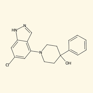 OC1(c2ccccc2)CCN(c2cc(Cl)cc3[nH]ncc23)CC1